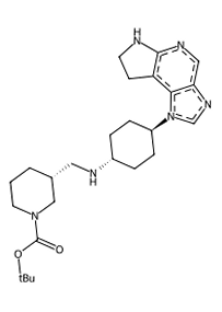 CC(C)(C)OC(=O)N1CCC[C@H](CN[C@H]2CC[C@H](n3cnc4cnc5c(c43)CCN5)CC2)C1